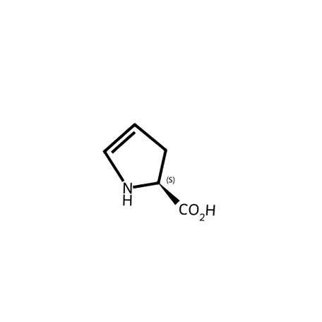 O=C(O)[C@@H]1CC=CN1